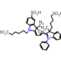 CC1(CCCCS(=O)(=O)O)C(/C=C/C=C2/N(CCCCCC(=O)O)c3ccc(S(=O)(=O)O)cc3C2(C)C)=[N+](c2ccccc2)c2ccccc21